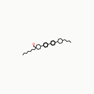 CCCCCCCC1(C=O)CCC(c2ccc(-c3ccc(C4CCC(CCCC)CC4)cc3)cc2)CC1